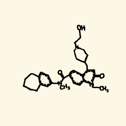 CCn1c(=O)cc(C2CCN(CCO)CC2)c2cc(C(=O)N(C)c3ccc4c(c3)CCCCC4)ccc21